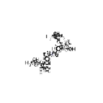 C[Si](C)(C)CCOCn1c([C@@H]2CCCN2C(=O)O)nc2cc(C(=O)/C=C/C(=O)c3cc4nc([C@@H]5CCCN5C(=O)O)n(COCC[Si](C)(C)C)c4cc3F)c(F)cc21